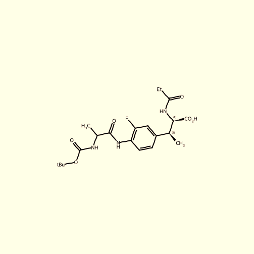 CCC(=O)N[C@@H](C(=O)O)[C@@H](C)c1ccc(NC(=O)C(C)NC(=O)OC(C)(C)C)c(F)c1